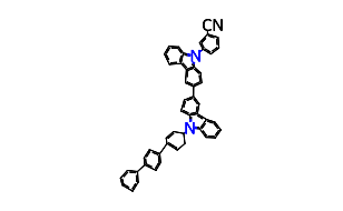 N#Cc1cccc(-n2c3ccccc3c3cc(-c4ccc5c(c4)c4ccccc4n5C4C=CC(c5ccc(-c6ccccc6)cc5)=CC4)ccc32)c1